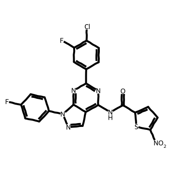 O=C(Nc1nc(-c2ccc(Cl)c(F)c2)nc2c1cnn2-c1ccc(F)cc1)c1ccc([N+](=O)[O-])s1